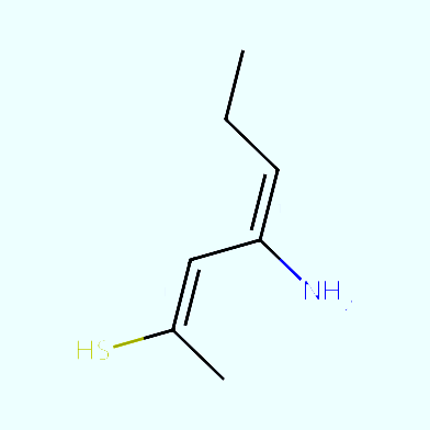 CC/C=C(N)\C=C(/C)S